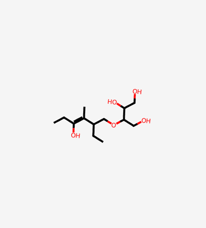 CC/C(O)=C(\C)C(CC)COC(CO)C(O)CO